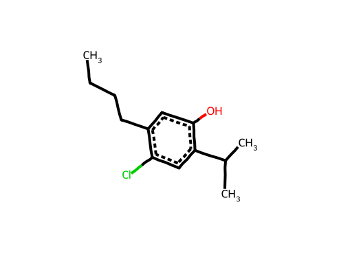 CCCCc1cc(O)c(C(C)C)cc1Cl